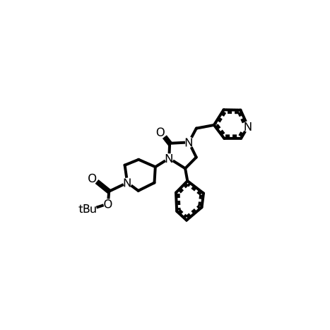 CC(C)(C)OC(=O)N1CCC(N2C(=O)N(Cc3ccncc3)CC2c2ccccc2)CC1